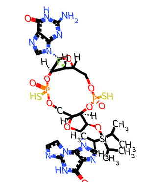 CC(C)[Si](O[C@@H]1[C@@H]2OP(=O)(S)OC[C@H]3O[C@@H](n4cnc5c(=O)[nH]c(N)nc54)[C@H](OP(=O)(S)OC[C@H]2O[C@H]1n1cnc2c(=O)[nH]c4nccn4c21)[C@@H]3F)(C(C)C)C(C)C